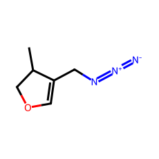 CC1COC=C1CN=[N+]=[N-]